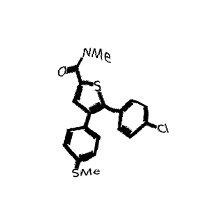 CNC(=O)c1cc(-c2ccc(SC)cc2)c(-c2ccc(Cl)cc2)s1